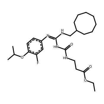 CCOC(=O)CCNC(=O)N/C(=N\c1ccc(OC(C)C)c(F)c1)NCC1CCCCCCC1